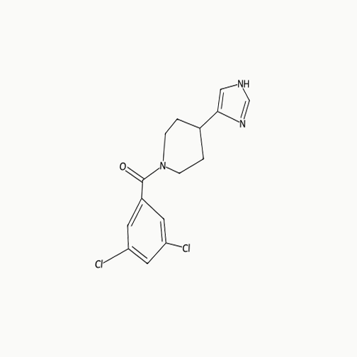 O=C(c1cc(Cl)cc(Cl)c1)N1CCC(c2c[nH]cn2)CC1